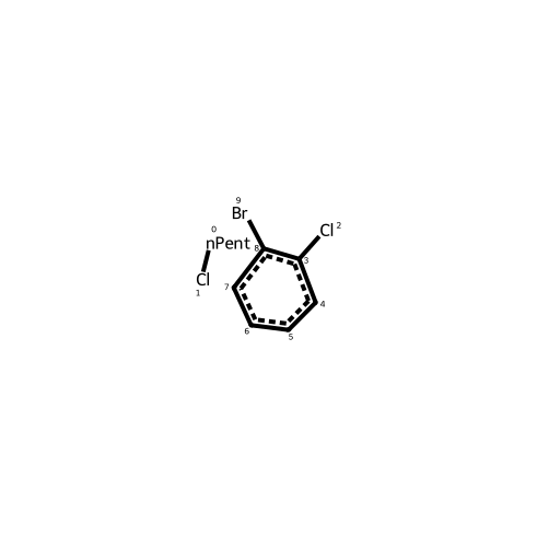 CCCCCCl.Clc1ccccc1Br